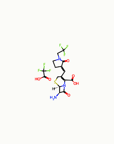 N[C@@H]1C(=O)N2C(C(=O)O)=C(/C=C3\CCN(CC(F)(F)F)C3=O)CS[C@H]12.O=C(O)C(F)(F)F